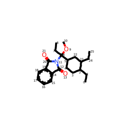 CCC1CCC(C(CC)(OC)N2C(=O)c3ccccc3C2=O)CC1CC